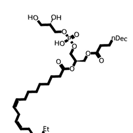 CC/C=C\C/C=C\C/C=C\CCCCCCCC(=O)O[C@H](COC(=O)CCCCCCCCCCCC)COP(=O)(O)OC[C@@H](O)CO